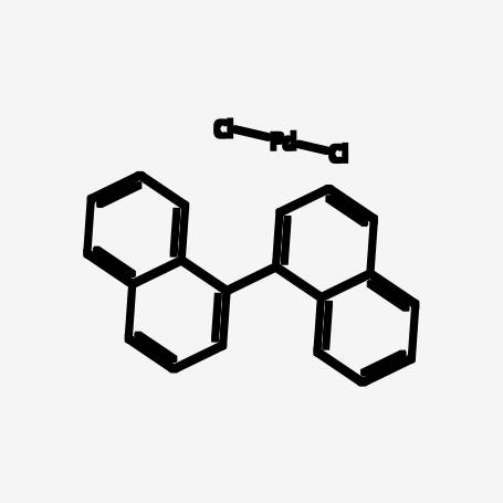 [Cl][Pd][Cl].c1ccc2c(-c3cccc4ccccc34)cccc2c1